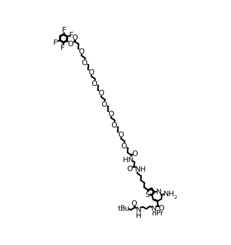 CCCN(CCCNC(=O)CC(C)(C)C)C(=O)C1=Cc2sc(CCCCCNC(=O)CNC(=O)CCOCCOCCOCCOCCOCCOCCOCCOCCOCCOCCC(=O)Oc3c(F)c(F)cc(F)c3F)cc2N=C(N)C1